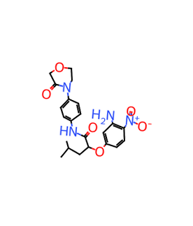 CC(C)CC(Oc1ccc([N+](=O)[O-])c(N)c1)C(=O)Nc1ccc(N2CCOCC2=O)cc1